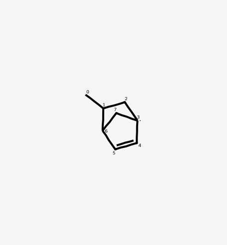 CC1C[C]2C=CC1C2